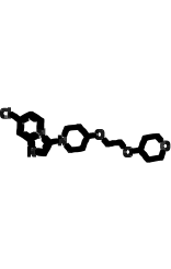 Clc1ccn2c(N3CCC(OCCOC4CCOCC4)CC3)cnc2c1